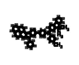 Cc1ccc(N(c2ccc(-c3ccc4c5c6ccc7cccc8ccc(cc5n(-c5ccccc5)c4c3)c6c87)cc2)c2ccc3c(c2)C(C)(C)c2ccccc2-3)cc1